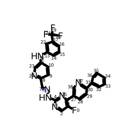 Fc1cnc(N/N=C/c2ccc(Nc3cccc(C(F)(F)F)c3)cn2)nc1-c1ccc(-c2ccccc2)nc1